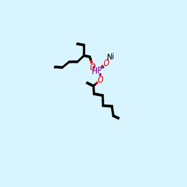 CCCCCCC(C)O[PH](=O)OCC(CC)CCCC.[Ni]